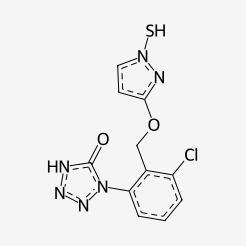 O=c1[nH]nnn1-c1cccc(Cl)c1COc1ccn(S)n1